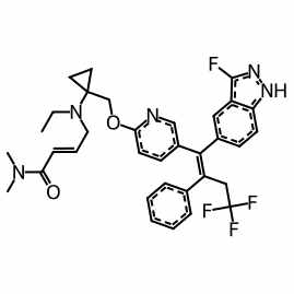 CCN(C/C=C/C(=O)N(C)C)C1(COc2ccc(/C(=C(/CC(F)(F)F)c3ccccc3)c3ccc4[nH]nc(F)c4c3)cn2)CC1